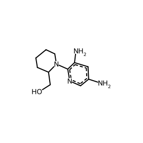 Nc1cnc(N2CCCCC2CO)c(N)c1